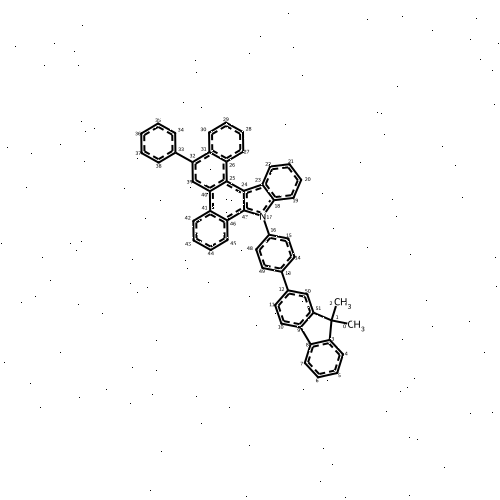 CC1(C)c2ccccc2-c2ccc(-c3ccc(-n4c5ccccc5c5c6c7ccccc7c(-c7ccccc7)cc6c6ccccc6c54)cc3)cc21